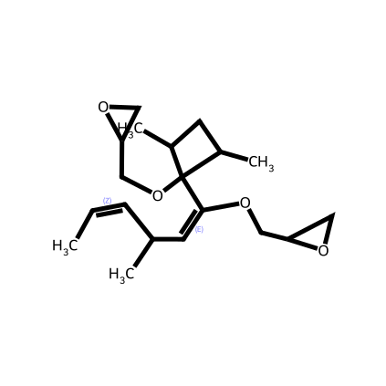 C/C=C\C(C)/C=C(/OCC1CO1)C1(OCC2CO2)C(C)CC1C